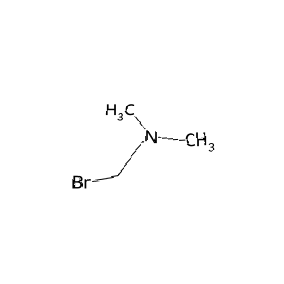 CN(C)CBr